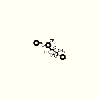 CC(C(=O)N1C(=O)O[C@@H](c2ccccc2)[C@H]1C)c1cc(OCc2ccccc2)cc(C(F)(F)F)c1